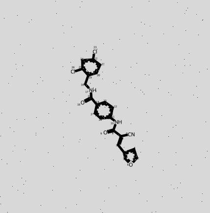 N#C/C(=C\c1ccoc1)C(=O)Nc1ccc(C(=O)NCc2ccc(Cl)cc2Cl)cc1